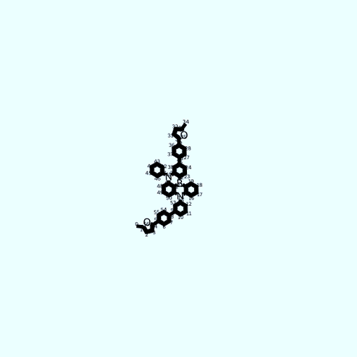 Cc1ccc(-c2ccc(-c3cccc(N4c5ccccc5B5c6ccc(-c7ccc(-c8ccc(C)o8)cc7)cc6N(c6ccccc6)c6cccc4c65)c3)cc2)o1